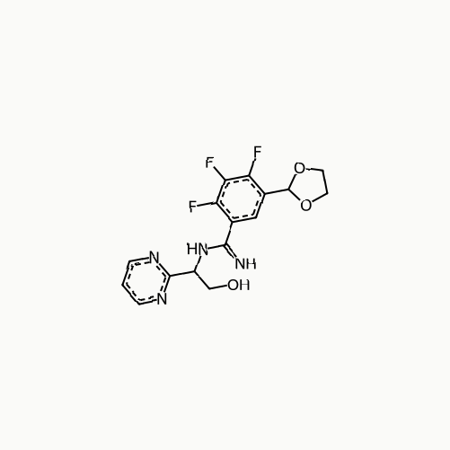 N=C(NC(CO)c1ncccn1)c1cc(C2OCCO2)c(F)c(F)c1F